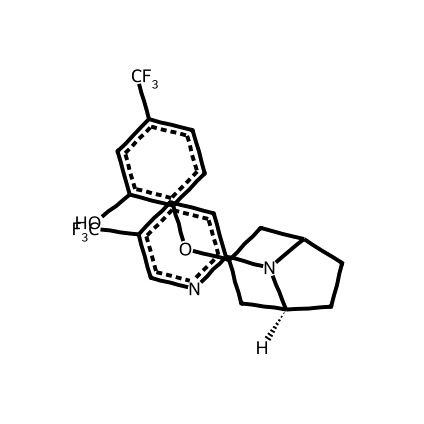 Oc1cc(C(F)(F)F)ccc1OC1CC2CC[C@@H](C1)N2c1ccc(C(F)(F)F)cn1